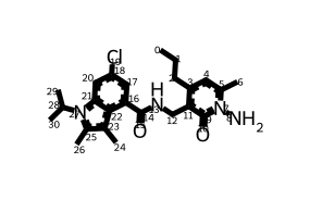 CCCc1cc(C)n(N)c(=O)c1CNC(=O)c1cc(Cl)cc2c1c(C)c(C)n2C(C)C